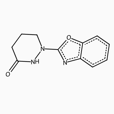 O=C1CCCN(c2nc3ccccc3o2)N1